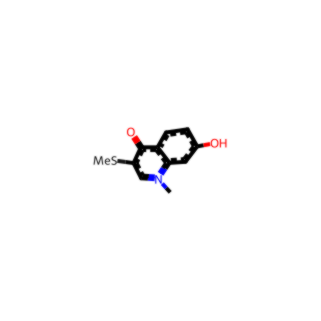 CSc1cn(C)c2cc(O)ccc2c1=O